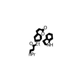 CCCC=CC(=O)CC.O=c1ccc2ccccc2o1.c1ccc2[nH]ccc2c1